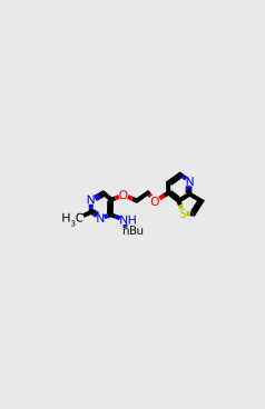 CCCCNc1nc(C)ncc1OCCOc1ccnc2ccsc12